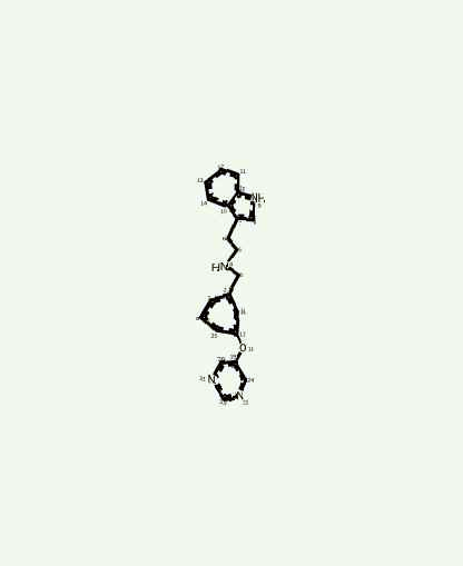 c1cc(CNCCc2c[nH]c3ccccc23)cc(Oc2cncnc2)c1